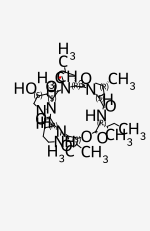 CCC(C)[C@H]1NC(=O)[C@@H]2C[C@@H](C)CN2C(=O)[C@@H](CC(C)C)N(C)C(=O)[C@@H]2C[C@H](O)CNN2C(=O)[C@H]2CCCNN2C(=O)[C@H](C(C)C)OC1=O